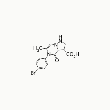 CC1=CN2NCC(C(=O)O)C2C(=O)N1c1ccc(Br)cc1